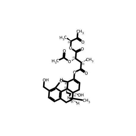 CC(=O)O[C@H](C(=O)O[C@@H](C)C(C)=O)[C@H](C)C(=O)OC1=CC[C@@]2(O)[C@H]3Cc4ccc(CO)c5c4[C@@]2(CCN3C)[C@H]1O5